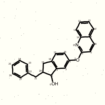 OC1c2cc(Oc3ccc4ccccc4n3)ccc2CC1Cc1ccccc1